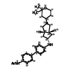 CC(=O)Nc1ccc(-c2ccc(N[C@@H]3C[C@@H]4CN(C5CCOC(C)(C)C5)C[C@@H]4C3)nn2)cn1